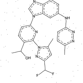 Cc1ccc(Nc2ccc3ncn(-c4ccc(C(C)O)c(-n5nc(C(F)F)cc5C)n4)c3c2)nn1